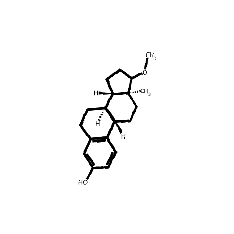 COC1CC[C@H]2[C@@H]3CCc4cc(O)ccc4[C@H]3CC[C@]12C